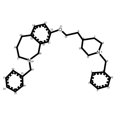 c1ccc(CN2CCC(CCOc3ccc4c(c3)CN(Cc3ccccc3)CCC4)CC2)cc1